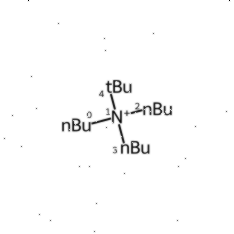 CCCC[N+](CCCC)(CCCC)C(C)(C)C